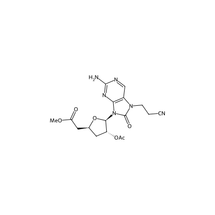 COC(=O)C[C@@H]1C[C@@H](OC(C)=O)[C@H](n2c(=O)n(CCC#N)c3cnc(N)nc32)O1